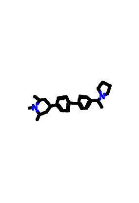 CC(c1ccc(-c2ccc(C3CC(C)N(C)C(C)C3)cc2)cc1)N1CCCC1